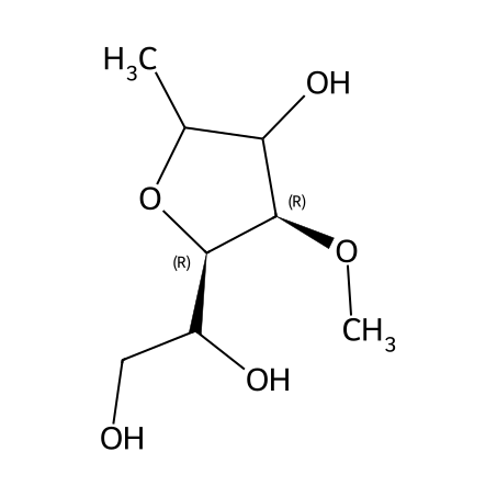 CO[C@@H]1C(O)C(C)O[C@@H]1C(O)CO